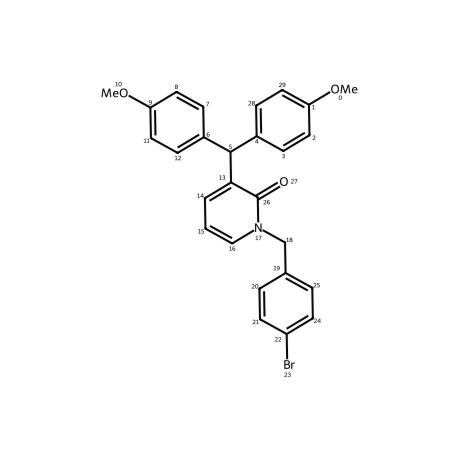 COc1ccc(C(c2ccc(OC)cc2)c2cccn(Cc3ccc(Br)cc3)c2=O)cc1